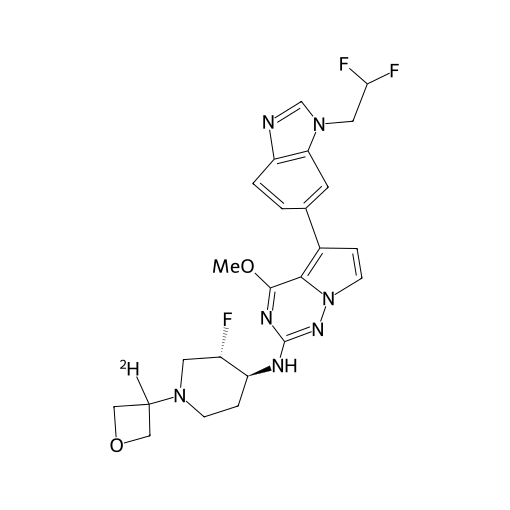 [2H]C1(N2CC[C@H](Nc3nc(OC)c4c(-c5ccc6ncn(CC(F)F)c6c5)ccn4n3)[C@@H](F)C2)COC1